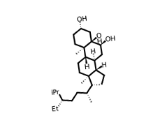 CC[C@@H](CC[C@@H](C)[C@H]1CC[C@H]2[C@@H]3C[C@H](O)[C@@]4(O)C[C@@H](O)CC[C@]4(C)[C@H]3CC[C@]12C)C(C)C